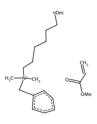 C=CC(=O)OC.CCCCCCCCCCCCCCCC[N+](C)(C)Cc1ccccc1